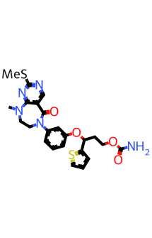 CSc1ncc2c(n1)N(C)CCN(c1cccc(OC(CCOC(N)=O)c3cccs3)c1)C2=O